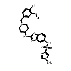 CCOc1cc(CN2CCC(Nc3nc4cc(NS(=O)(=O)c5cn(C)cn5)ccc4o3)CC2)ccc1Cl